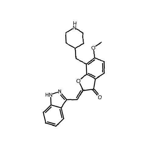 COc1ccc2c(c1CC1CCNCC1)OC(=Cc1n[nH]c3ccccc13)C2=O